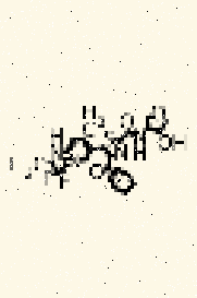 Cc1cc(N[C@@H](C)C(F)(F)F)ncc1-c1sc(C(=O)N[C@@H]2COC[C@@H]2O)nc1C(=O)N1C2CCC1CC2